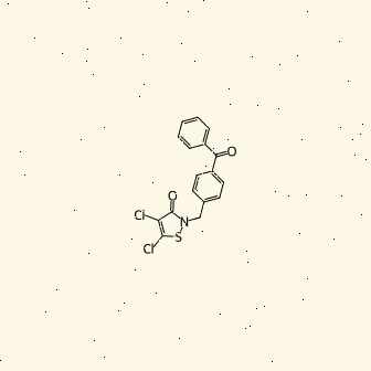 O=C(c1ccccc1)c1ccc(Cn2sc(Cl)c(Cl)c2=O)cc1